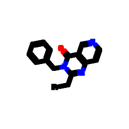 CC(C)Cc1nc2ccncc2c(=O)n1Cc1ccccc1